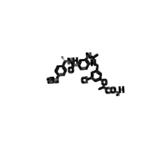 Cc1nc2cc(C(=O)N[C@@H](C)c3ccc(C(C)(C)C)cc3)ccc2n1Cc1cc(Cl)cc(O[C@H](C)C(=O)O)c1